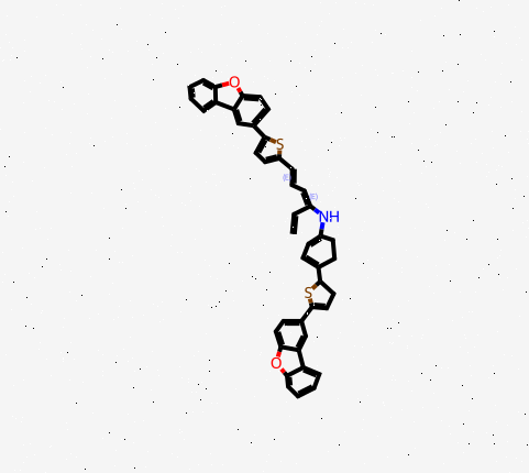 C=C/C(=C\C=C\c1ccc(-c2ccc3oc4ccccc4c3c2)s1)NC1=CC=C(C2CC=C(c3ccc4oc5ccccc5c4c3)S2)CC1